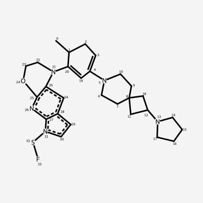 CC1CC=C(N2CCC3(CC2)CC(N2CCCC2)C3)C=C1N1CCOc2nc3c(ccn3SF)cc21